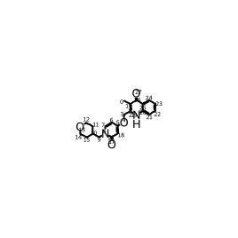 Cc1c(COc2ccn(CC3CCOCC3)c(=O)c2)[nH]c2ccccc2c1=O